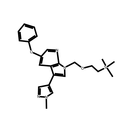 Cn1cc(-c2cn(COCC[Si](C)(C)C)c3ncc(Oc4ccccc4)cc23)cn1